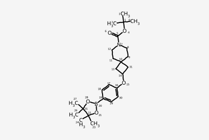 CC(C)(C)OC(=O)N1CCC2(CC1)CC(Oc1ccc(B3OC(C)(C)C(C)(C)O3)cc1)C2